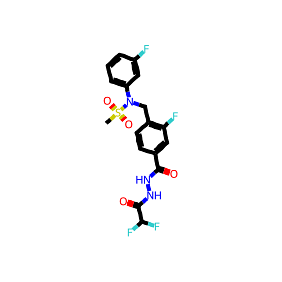 CS(=O)(=O)N(Cc1ccc(C(=O)NNC(=O)C(F)F)cc1F)c1cccc(F)c1